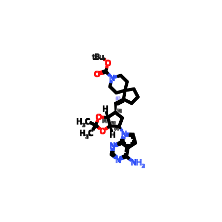 CC(C)(C)OC(=O)N1CCC2(CCC/C2=C\[C@H]2C[C@@H](n3ccc4c(N)ncnc43)[C@@H]3OC(C)(C)O[C@@H]32)CC1